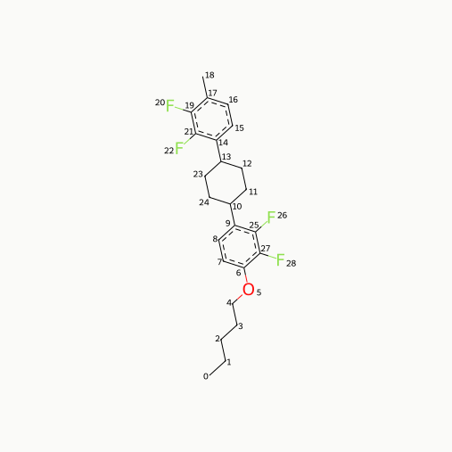 CCCCCOc1ccc(C2CCC(c3ccc(C)c(F)c3F)CC2)c(F)c1F